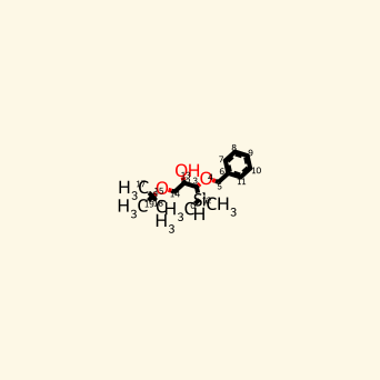 C[SiH](C)C(OCc1ccccc1)C(O)COC(C)(C)C